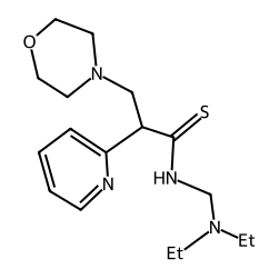 CCN(CC)CNC(=S)C(CN1CCOCC1)c1ccccn1